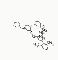 Cc1cccc(C)c1-c1cc2nc(n1)NS(=O)(=O)c1cccc(c1)CC1CCN(CC3CCCCC3)CC1CO2